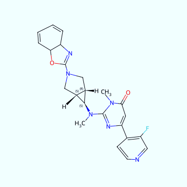 CN(c1nc(-c2ccncc2F)cc(=O)n1C)[C@H]1[C@@H]2CN(C3=NC4C=CC=CC4O3)C[C@@H]21